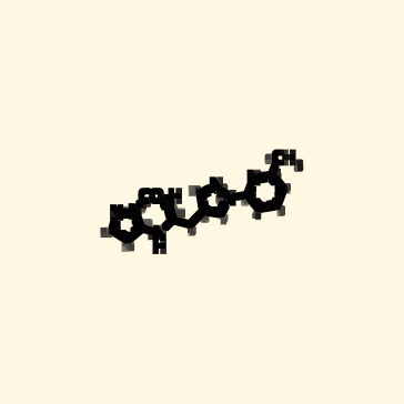 Cc1cccc(-n2cc(CC(=O)Nc3ccnn3C(=O)O)cn2)n1